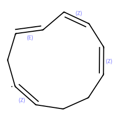 [C]1=C\CC\C=C/C=C\C=C\C/1